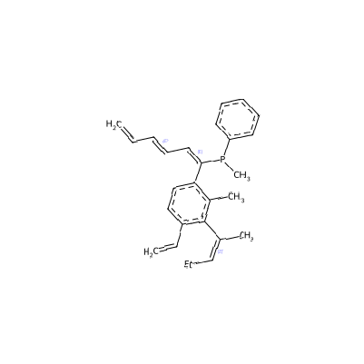 C=C/C=C/C=C(\c1ccc(C=C)c(/C(C)=C\CC)c1C)P(C)c1ccccc1